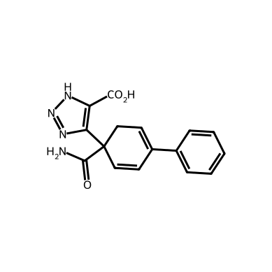 NC(=O)C1(c2nn[nH]c2C(=O)O)C=CC(c2ccccc2)=CC1